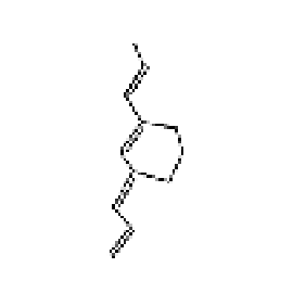 C=C/C=C1C=C(/C=C/I)CCC/1